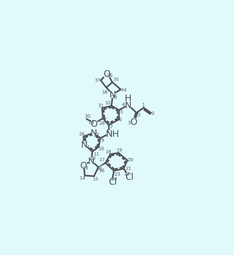 C=CC(=O)Nc1cc(Nc2cc(N3OCC[C@@H]3c3cccc(Cl)c3Cl)ncn2)c(OC)cc1N1CC2OCC21